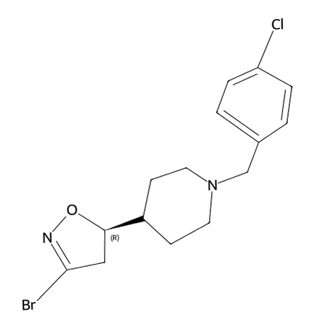 Clc1ccc(CN2CCC([C@H]3CC(Br)=NO3)CC2)cc1